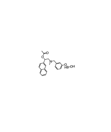 CC(=O)OC(CN(C)Cc1cccc(OBO)c1)c1ccc2ccccc2c1